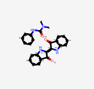 CN(C)C(=O)Nc1ccccc1.O=C1/C(=C2\Nc3ccccc3C2=O)Nc2ccccc21